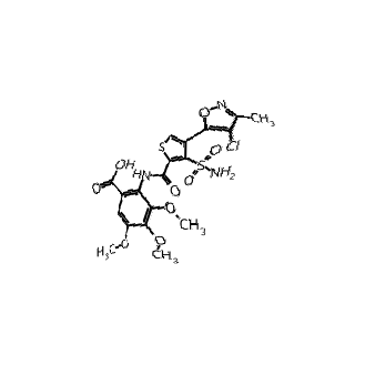 COc1cc(C(=O)O)c(NC(=O)c2scc(-c3onc(C)c3Cl)c2S(N)(=O)=O)c(OC)c1OC